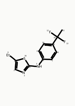 CCc1cnc(Nc2ccc(C(C)(F)F)cc2)s1